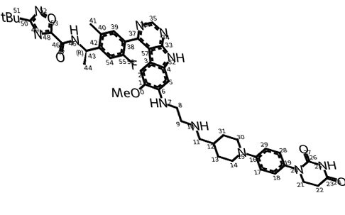 COc1cc2c(cc1NCCNCC1CCN(c3ccc(N4CCC(=O)NC4=O)cc3)CC1)[nH]c1ncnc(-c3cc(C)c([C@@H](C)NC(=O)c4nc(C(C)(C)C)no4)cc3F)c12